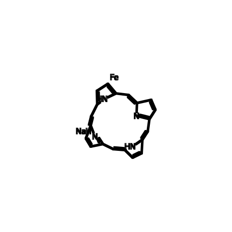 C1=Cc2cc3ccc(cc4nc(cc5ccc(cc1n2)[nH]5)C=C4)[nH]3.[Fe].[NaH]